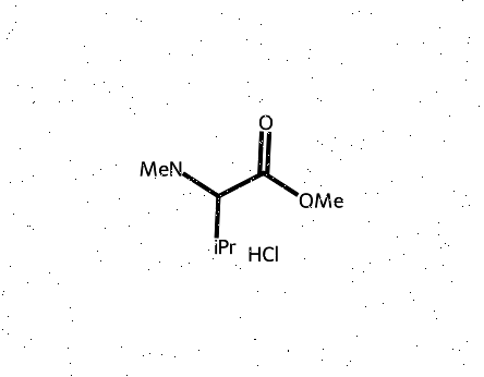 CNC(C(=O)OC)C(C)C.Cl